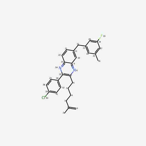 C=C(C)CCCCc1nc2cc(Cc3cc(C)cc(F)c3)ccc2nc1-c1ccc(Cl)cc1